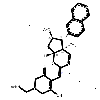 CC(=O)NCC1CC(=O)C(/C=C2/C=C[C@@]3(C)[C@H](C2)C[C@@H](OC(C)=O)[C@@H]3c2ccc3cnccc3c2)=C(O)C1